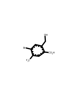 O=C(O)c1cc(C(F)(F)F)c(Br)cc1CO